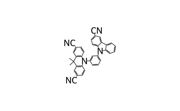 CC1(C)c2cc(C#N)ccc2N(c2cccc(-n3c4ccccc4c4cc(C#N)ccc43)c2)c2ccc(C#N)cc21